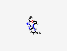 CC(C)CC(=O)Nc1nc2ccc(C#N)nc2n1C1=CC=C1